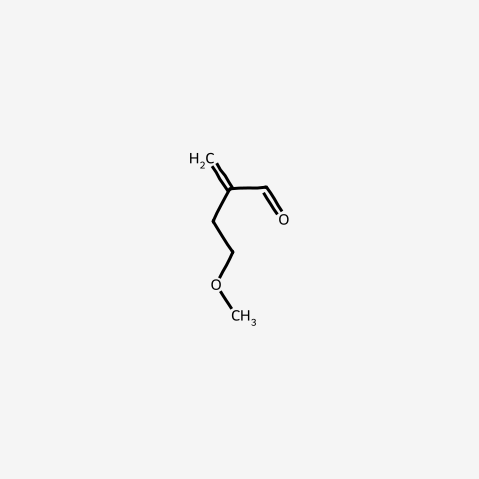 C=C(C=O)CCOC